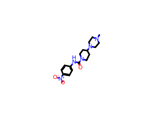 CN1CCN(C2CCN(C(=O)Nc3ccc([N+](=O)[O-])cc3)CC2)CC1